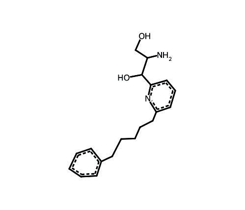 NC(CO)C(O)c1cccc(CCCCCc2ccccc2)n1